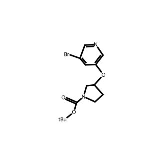 CC(C)(C)OC(=O)N1CCC(Oc2cncc(Br)c2)C1